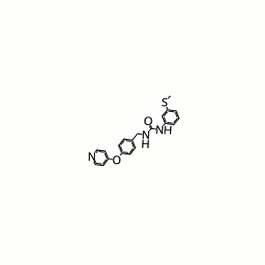 CSc1cccc(NC(=O)NCc2ccc(Oc3ccncc3)cc2)c1